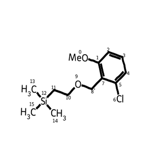 COc1cccc(Cl)c1[CH]OCC[Si](C)(C)C